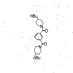 CCCCC1CCN(C(=O)c2cccc(C(=O)N3CCC(CCCC)CC3)c2)CC1